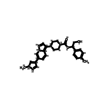 Cc1ccc(C(CO)OC(=O)N2CCN(c3cnn4cc(-c5cnn(C)c5)ccc34)CC2)cc1